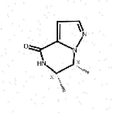 C[C@@H]1NC(=O)c2ccnn2[C@@H]1C